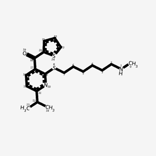 CNCCCCCCSc1nc(C(C)C)ccc1C(=O)c1cccs1